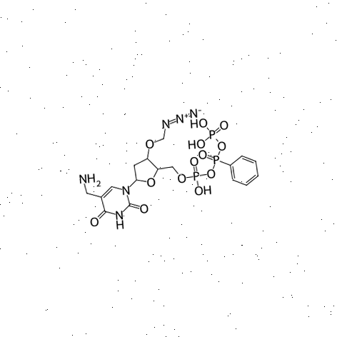 [N-]=[N+]=NCOC1CC(n2cc(CN)c(=O)[nH]c2=O)OC1COP(=O)(O)OP(=O)(OP(=O)(O)O)c1ccccc1